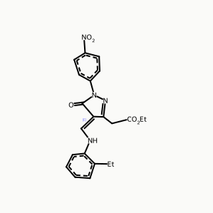 CCOC(=O)CC1=NN(c2ccc([N+](=O)[O-])cc2)C(=O)/C1=C/Nc1ccccc1CC